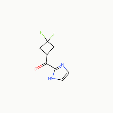 O=C(c1ncc[nH]1)C1CC(F)(F)C1